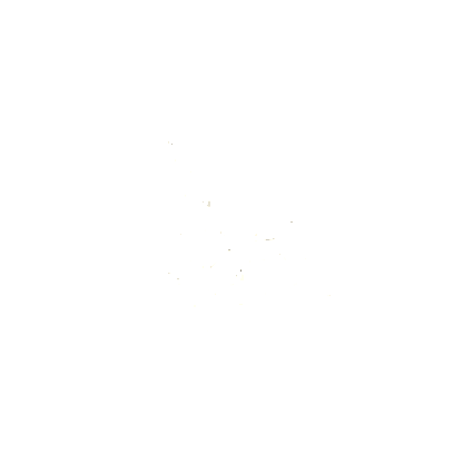 CC(C)(C)C[C@@H]1CN(C(=O)NCCC(N)=O)[C@H](c2cccc(Cl)c2F)[C@@]1(N)c1ccc(Cl)cc1F